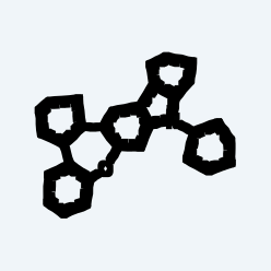 c1ccc(-n2c3ccccc3c3cc4c(cc32)Oc2ccccc2-c2ccccc2-4)cc1